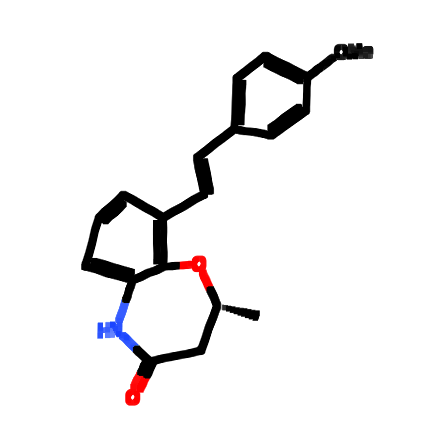 COc1ccc(/C=C/c2cccc3c2O[C@H](C)CC(=O)N3)cc1